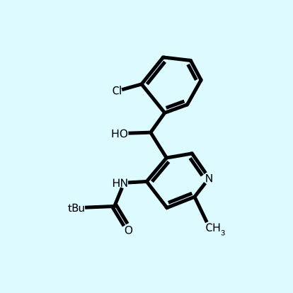 Cc1cc(NC(=O)C(C)(C)C)c(C(O)c2ccccc2Cl)cn1